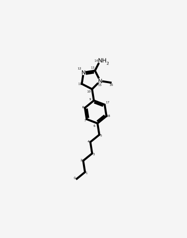 CCCCCCc1ccc(C2CN=C(N)N2C)cc1